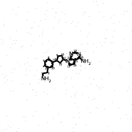 NCCc1cccc(C2CCC(n3ccc4c(N)ncnc43)C2)c1